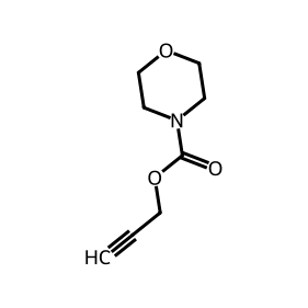 C#CCOC(=O)N1CCOCC1